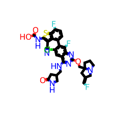 N#Cc1c(NC(=O)O)sc2c(F)ccc(-c3c(Cl)cc4c(NCC5CNC(=O)C5)nc(OCC56CCCN5C/C(=C\F)C6)nc4c3F)c12